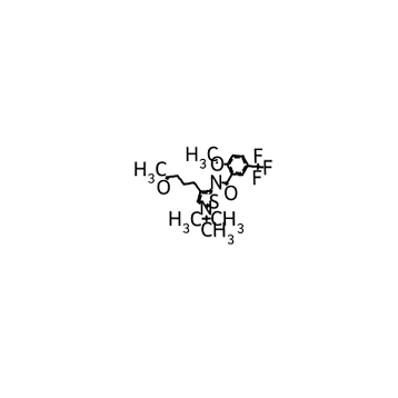 COc1ccc(C(F)(F)F)cc1C(=O)/N=c1\sn(C(C)(C)C)cc1CCCC(C)=O